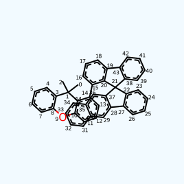 CC1(C)c2ccccc2Oc2cccc(-c3cccc4c3C3(c5ccccc5-c5cc6ccccc6cc53)c3ccccc3-4)c21